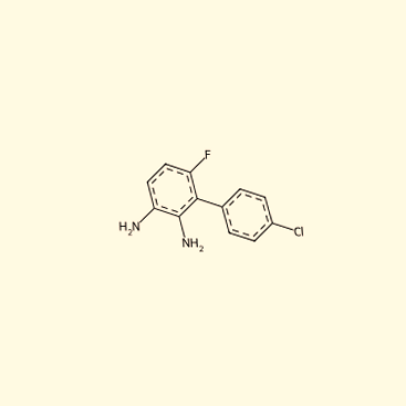 Nc1ccc(F)c(-c2ccc(Cl)cc2)c1N